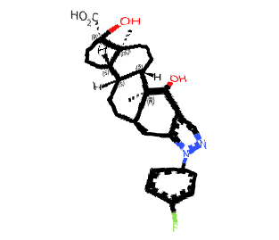 C[C@]12CC[C@H]3[C@H](CCC4=Cc5c(cnn5-c5ccc(F)cc5)C(O)[C@@]43C)[C@@H]1CC[C@]2(O)C(=O)O